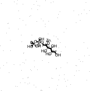 O=C(COP(=O)(O)OP(=O)(O)O)[C@@H](O)[C@H](O)[C@H](O)CO.[Zn]